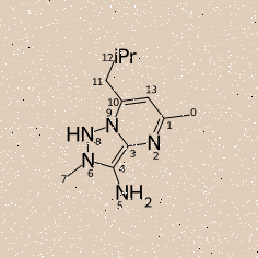 CC1=NC2=C(N)N(C)NN2C(CC(C)C)=C1